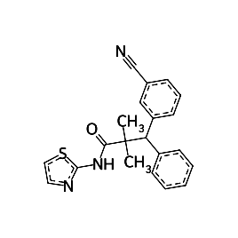 CC(C)(C(=O)Nc1nccs1)C(c1ccccc1)c1cccc(C#N)c1